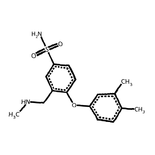 CNCc1cc(S(N)(=O)=O)ccc1Oc1ccc(C)c(C)c1